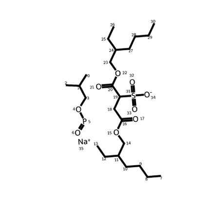 CC(C)COP=O.CCCCC(CC)COC(=O)CC(C(=O)OCC(CC)CCCC)S(=O)(=O)[O-].[Na+]